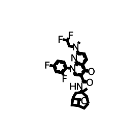 CN(CC(F)F)c1ccc2c(=O)c(C(=O)NC3(C)CC4CC5CC(C3)C5C4)cn(-c3ccc(F)cc3F)c2n1